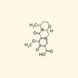 COc1c2n(cc(C(=O)O)c1=O)C[C@@H]1OCC[C@H](C)N1C2=O